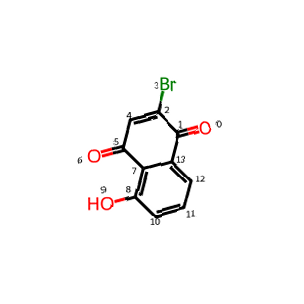 O=C1C(Br)=CC(=O)c2c(O)cccc21